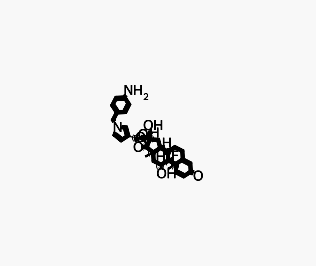 C[C@]12C=CC(=O)C=C1CC[C@H]1[C@@H]3C[C@H]4O[C@@H](c5ccn(Cc6ccc(N)cc6)c5)O[C@@]4(C(=O)CO)[C@@]3(C)C[C@H](O)[C@@]12F